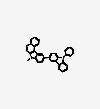 Cn1c2ccc(-c3ccc4c(c3)c3ccccc3n4-c3ccccc3)cc2c2c3ccccc3ccc21